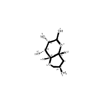 C[C@@H]1C[C@H]2OC(O)[C@@H](O)[C@@H](O)[C@H]2O1